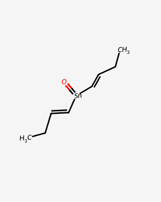 CCC=[CH][Sn](=[O])[CH]=CCC